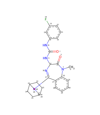 CN1C(=O)C(NC(=O)Nc2cccc(F)c2)N=C(N2CC3CCC(CC3)C2)c2ccccc21